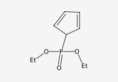 CCOP(=O)(OCC)C1C=CC=C1